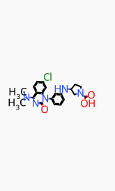 CN(C)c1nc(=O)n(-c2cccc(NC3CCN(C(=O)O)C3)c2)c2cc(Cl)ccc12